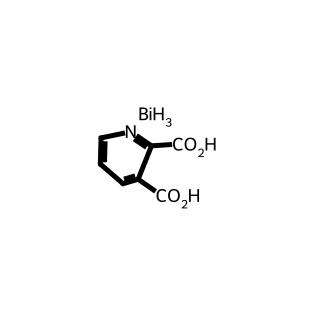 O=C(O)c1cccnc1C(=O)O.[BiH3]